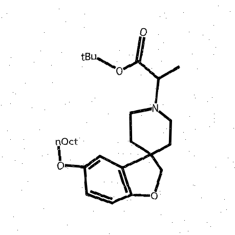 CCCCCCCCOc1ccc2c(c1)C1(CCN(C(C)C(=O)OC(C)(C)C)CC1)CO2